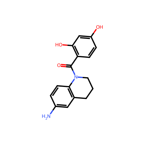 Nc1ccc2c(c1)CCCN2C(=O)c1ccc(O)cc1O